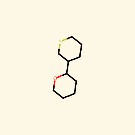 [C]1CCOC(C2CCCSC2)C1